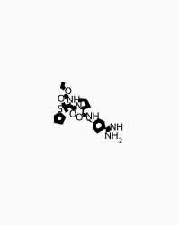 CCOC(=O)N[C@@H](C(=O)N1CCC[C@H]1C(=O)NC[C@H]1CC[C@H](C(=N)N)CC1)C(C)(C)SC1CCCC1